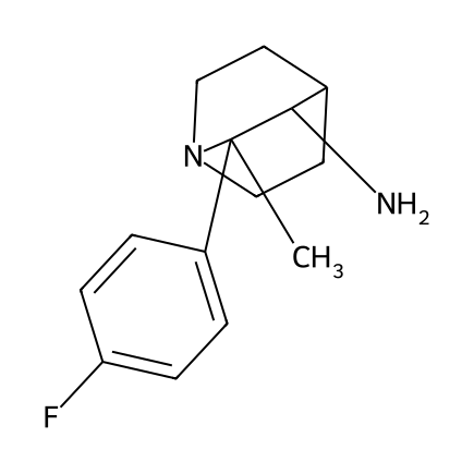 CC1(c2ccc(F)cc2)C(N)C2CCN1CC2